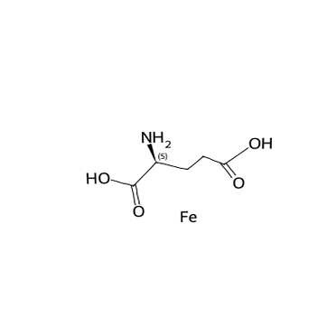 N[C@@H](CCC(=O)O)C(=O)O.[Fe]